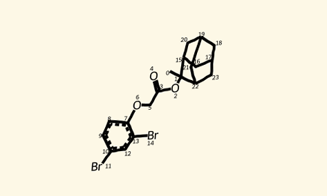 CC1(OC(=O)COc2ccc(Br)cc2Br)C2CC3CC(C2)CC1C3